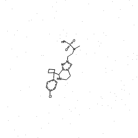 CCCS(=O)(=O)N(C)CCn1cc2c(n1)C(C1(c3ccc(Cl)cc3)CCC1)NCC2